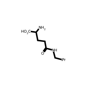 CC(C)CNC(=O)CCC(N)C(=O)O